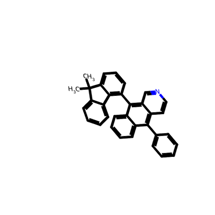 CC1(C)c2ccccc2-c2c(-c3c4ccccc4c(-c4ccccc4)c4ccncc34)cccc21